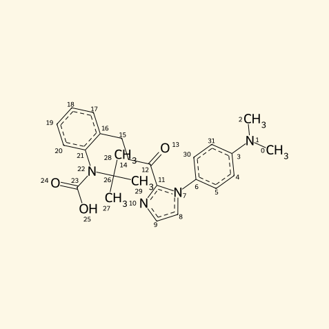 CN(C)c1ccc(-n2ccnc2C(=O)CCc2ccccc2N(C(=O)O)C(C)(C)C)cc1